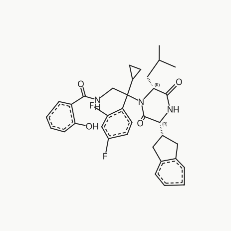 CC(C)C[C@@H]1C(=O)N[C@H](C2Cc3ccccc3C2)C(=O)N1C(CNC(=O)c1ccccc1O)(c1ccc(F)cc1F)C1CC1